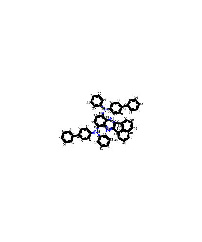 c1ccc(-c2ccc(N(c3ccccc3)c3ccc(N(c4ccccc4)c4ccc(-c5ccccc5)cc4)c4nc5c(nc34)-c3cccc4cccc-5c34)cc2)cc1